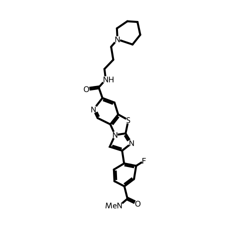 CNC(=O)c1ccc(-c2cn3c(n2)sc2cc(C(=O)NCCCN4CCCCC4)ncc23)c(F)c1